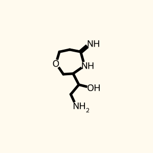 N=C1CCOCC(C(O)CN)N1